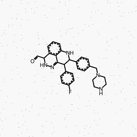 O=CC1NN=C2c3c(cccc31)NC(c1ccc(CN3CCNCC3)cc1)C2c1ccc(F)cc1